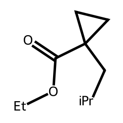 CCOC(=O)C1(CC(C)C)CC1